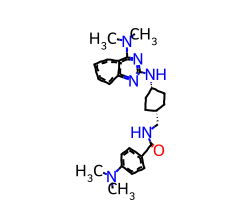 CN(C)c1ccc(C(=O)NC[C@H]2CC[C@@H](Nc3nc(N(C)C)c4ccccc4n3)CC2)cc1